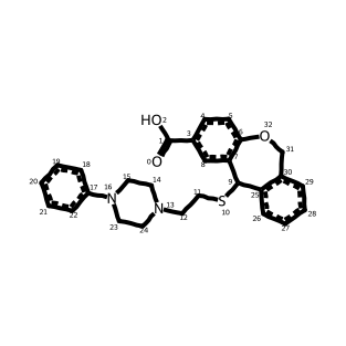 O=C(O)c1ccc2c(c1)C(SCCN1CCN(c3ccccc3)CC1)c1ccccc1CO2